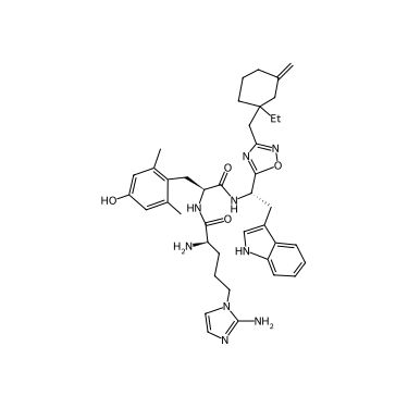 C=C1CCCC(CC)(Cc2noc([C@H](Cc3c[nH]c4ccccc34)NC(=O)[C@H](Cc3c(C)cc(O)cc3C)NC(=O)[C@H](N)CCCn3ccnc3N)n2)C1